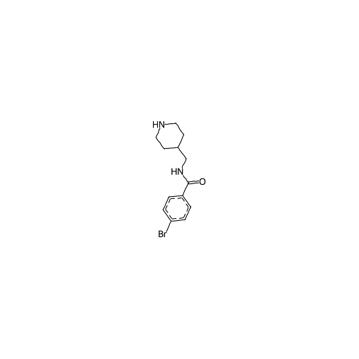 O=C(NCC1CCNCC1)c1ccc(Br)cc1